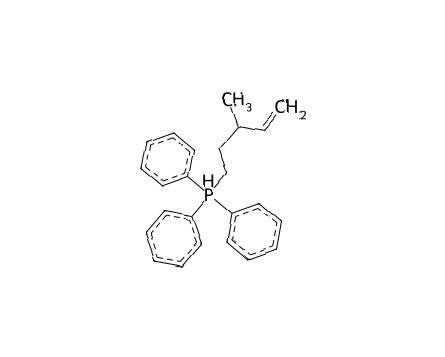 C=CC(C)CC[PH](c1ccccc1)(c1ccccc1)c1ccccc1